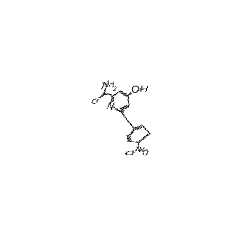 NC(=O)c1cc(O)cc(-c2ccc([N+](=O)[O-])cc2)n1